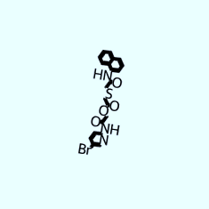 O=C(COC(=O)CSCC(=O)Nc1cccc2ccccc12)Nc1ccc(Br)cn1